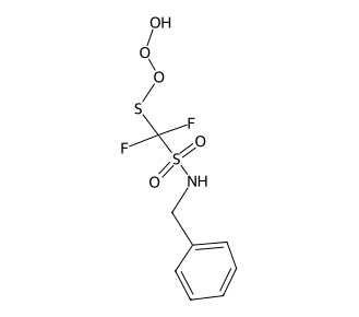 O=S(=O)(NCc1ccccc1)C(F)(F)SOOO